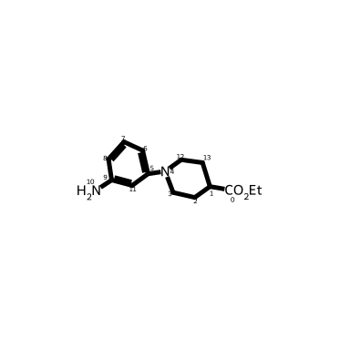 CCOC(=O)C1CCN(c2cccc(N)c2)CC1